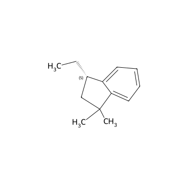 CC[C@H]1CC(C)(C)c2ccccc21